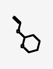 C=COC1CCCCO1